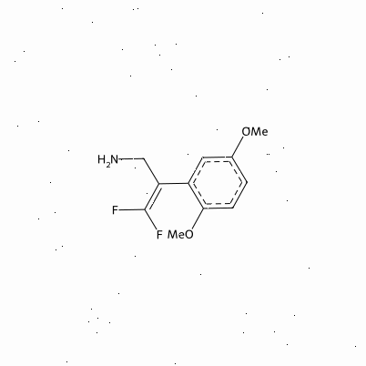 COc1ccc(OC)c(C(CN)=C(F)F)c1